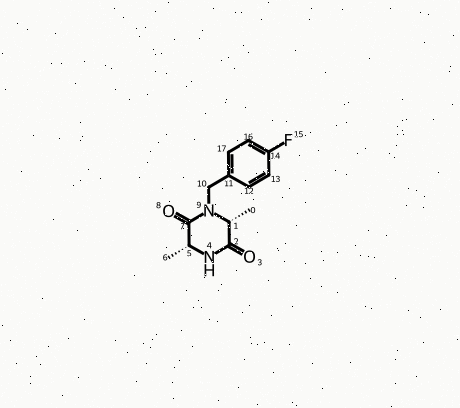 C[C@@H]1C(=O)N[C@H](C)C(=O)N1Cc1ccc(F)cc1